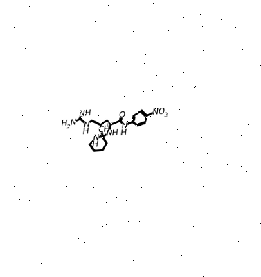 CC1(N[C@@H](CCCNC(=N)N)C(=O)Nc2ccc([N+](=O)[O-])cc2)CCCCN1